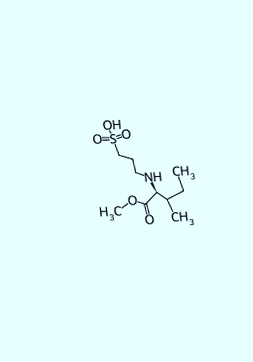 CCC(C)[C@H](NCCCS(=O)(=O)O)C(=O)OC